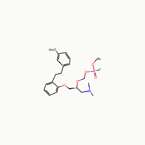 CCC(C)O[P@@](=O)(F)OCO[C@H](COc1ccccc1CCc1cccc(OC)c1)CN(C)C